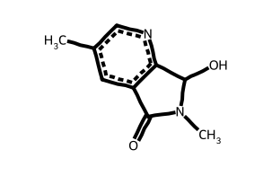 Cc1cnc2c(c1)C(=O)N(C)C2O